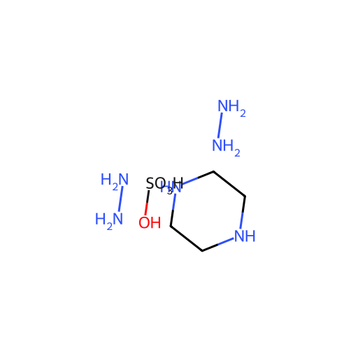 C1CNCCN1.NN.NN.O=S(=O)(O)O